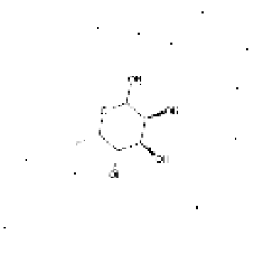 C[C@@H]1OC(O)[C@@H](O)[C@@H](O)[C@@H]1O